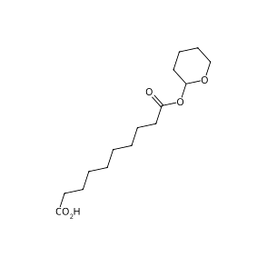 O=C(O)CCCCCCCCC(=O)OC1CCCCO1